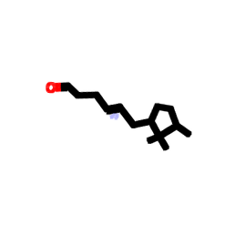 CC1CCC(C/C=C/CCC=O)C1(C)C